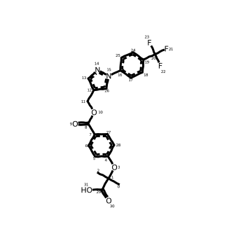 CC(C)(Oc1ccc(C(=O)OCc2cnn(-c3ccc(C(F)(F)F)cc3)c2)cc1)C(=O)O